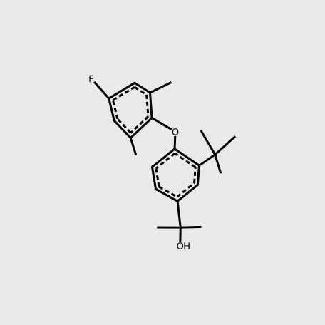 Cc1cc(F)cc(C)c1Oc1ccc(C(C)(C)O)cc1C(C)(C)C